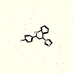 Fc1ccc(C2CC(n3ccnc3)c3ccccc3N2)cc1